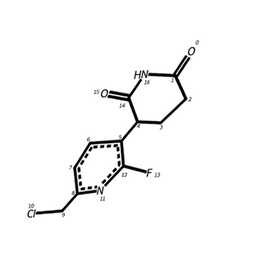 O=C1CCC(c2ccc(CCl)nc2F)C(=O)N1